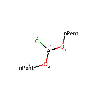 CCCCC[O][Al]([Cl])[O]CCCCC